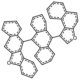 c1ccc2c(-c3c4ccccc4c(-c4coc5ccc6ccccc6c45)c4ccccc34)c3c(cc2c1)oc1ccccc13